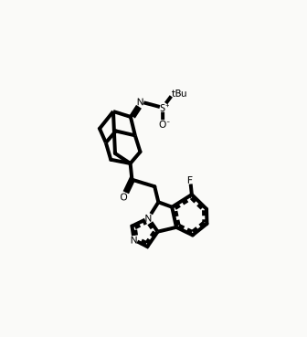 CC(C)(C)[S+]([O-])N=C1C2CC3CC1CC(C(=O)CC1c4c(F)cccc4-c4cncn41)(C3)C2